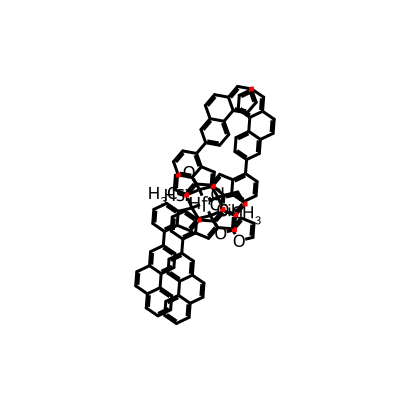 C[SiH]1[C]2(C(c3ccco3)=Cc3c(-c4ccc5c(ccc6ccccc65)c4)cccc32)[Hf]2([Cl])([Cl])([C]13C(c1ccco1)=Cc1c(-c4ccc5c(ccc6ccccc65)c4)cccc13)[C]1(C(c3ccco3)=Cc3c(-c4ccc5c(ccc6ccccc65)c4)cccc31)[SiH](C)[C]21C(c2ccco2)=Cc2c(-c3ccc4c(ccc5ccccc54)c3)cccc21